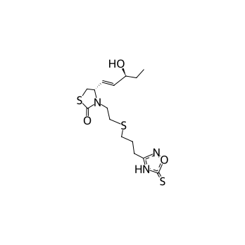 CC[C@H](O)/C=C/[C@H]1CSC(=O)N1CCSCCCc1noc(=S)[nH]1